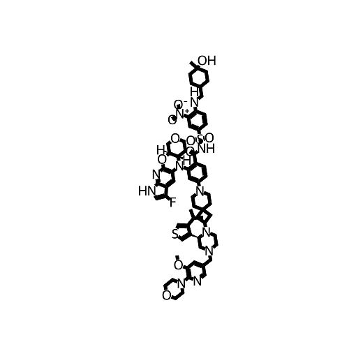 COc1cc(CN2CCN(C3CC4(CCN(c5ccc(C(=O)NS(=O)(=O)c6ccc(NCC7CCC(C)(O)CC7)c([N+](=O)[O-])c6)c(N6c7cc8c(F)c[nH]c8nc7O[C@H]7COCC[C@@H]76)c5)CC4)C3)[C@H](c3cscc3C(C)C)C2)cnc1N1CCOCC1